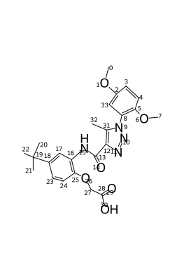 COc1ccc(OC)c(-n2nnc(C(=O)Nc3cc(C(C)(C)C)ccc3OCC(=O)O)c2C)c1